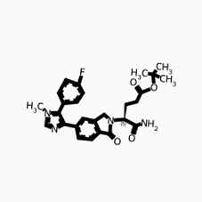 Cn1cnc(-c2ccc3c(c2)CN([C@@H](CCC(=O)OC(C)(C)C)C(N)=O)C3=O)c1-c1ccc(F)cc1